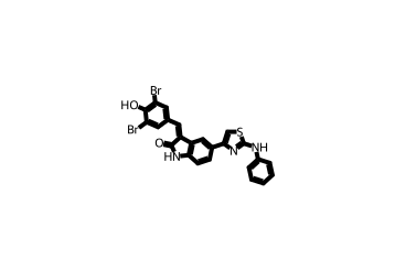 O=C1Nc2ccc(-c3csc(Nc4ccccc4)n3)cc2C1=Cc1cc(Br)c(O)c(Br)c1